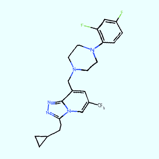 Fc1ccc(N2CCN(Cc3cc(C(F)(F)F)cn4c(CC5CC5)nnc34)CC2)c(F)c1